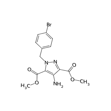 COC(=O)c1nn(Cc2ccc(Br)cc2)c(C(=O)OC)c1N